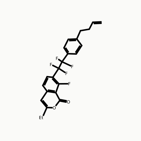 C=CCCc1ccc(C(F)(F)C(F)(F)c2ccc3cc(CC)oc(=O)c3c2F)cc1